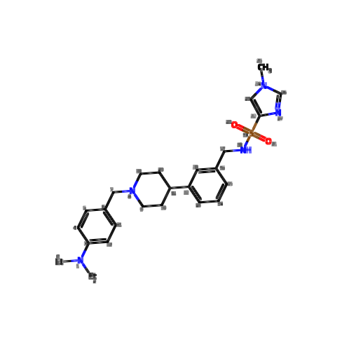 CCN(CC)c1ccc(CN2CCC(c3cccc(CNS(=O)(=O)c4cn(C)cn4)c3)CC2)cc1